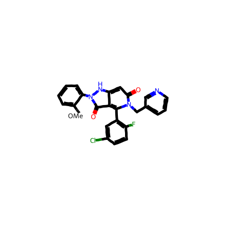 COc1ccccc1-n1[nH]c2cc(=O)n(Cc3cccnc3)c(-c3cc(Cl)ccc3F)c2c1=O